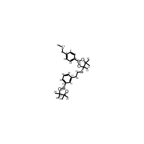 CSCc1ccc(B2OC(C)(C)C(C)(SCCc3cccc(B4OC(C)(C)C(C)(C)O4)c3)O2)cc1